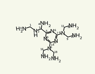 NCNC(N)c1nc(N(CN)CN)nc(N(CN)CN)n1